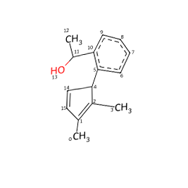 CC1=C(C)C(c2ccccc2C(C)O)C=C1